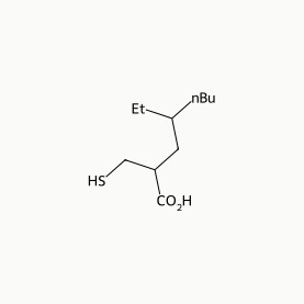 CCCCC(CC)CC(CS)C(=O)O